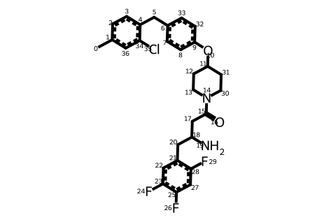 Cc1ccc(Cc2ccc(OC3CCN(C(=O)CC(N)Cc4cc(F)c(F)cc4F)CC3)cc2)c(Cl)c1